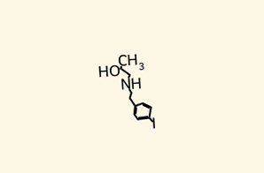 CC(O)CNCCc1ccc(I)cc1